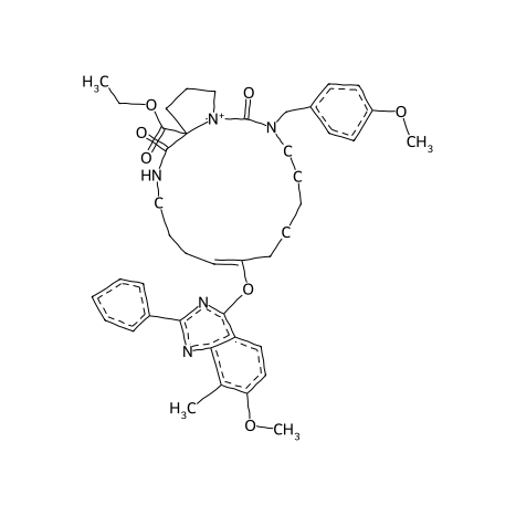 CCOC(=O)C12CCC[N+]1C(=O)N(Cc1ccc(OC)cc1)CCCCCC(Oc1nc(-c3ccccc3)nc3c(C)c(OC)ccc13)=CCCCNC2=O